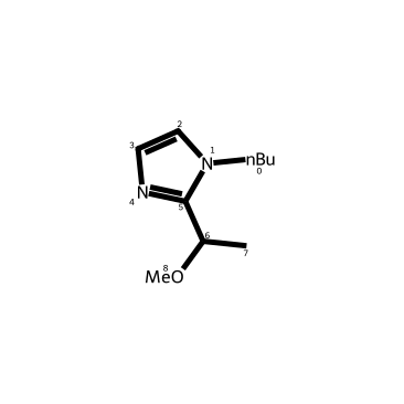 CCCCn1ccnc1C(C)OC